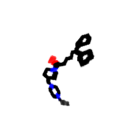 CC(C)(C)N1CCN(CC2CCN(C(=O)CCCCC(c3ccccc3)c3ccccc3)CC2)CC1